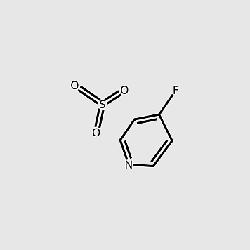 Fc1ccncc1.O=S(=O)=O